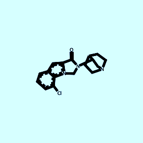 O=C1c2cc3cccc(Cl)c3n2CN1C1CN2CCC1CC2